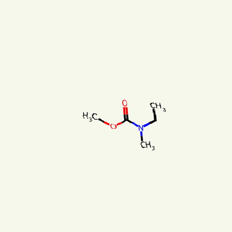 CCN(C)C(=O)OC